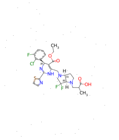 CCOC(=O)C1=C(CN2CC(F)(F)[C@H]3[C@@H]2CCN3CC(C)C(=O)O)NC(c2nccs2)=N[C@H]1c1cccc(F)c1Cl